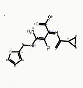 C=C(/N=C(C(=O)O)\C(Cl)=C(/N)NCc1ccco1)C1CC1